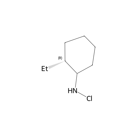 CC[C@@H]1CCCCC1NCl